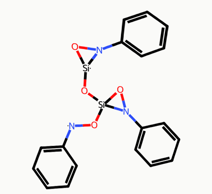 c1ccc([N]O[Si]2(O[Si]3ON3c3ccccc3)ON2c2ccccc2)cc1